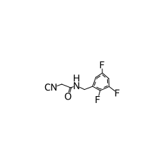 [C-]#[N+]CC(=O)NCc1cc(F)cc(F)c1F